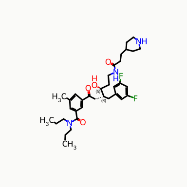 CCCN(CCC)C(=O)c1cc(C)cc(C(=O)C[C@@H](Cc2cc(F)cc(F)c2)[C@@H](O)CCNC(=O)CCC2CCNCC2)c1